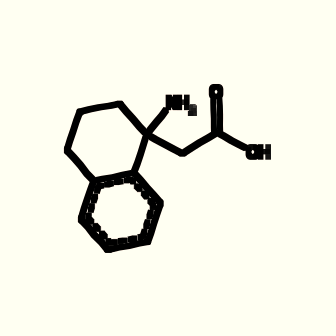 NC1(CC(=O)O)CCCc2ccccc21